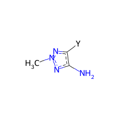 Cn1nc(N)[c]([Y])n1